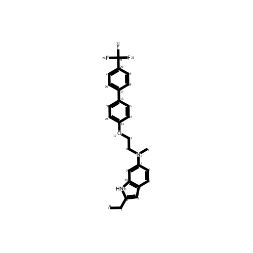 [CH]Cc1cc2ccc(N(C)CCOc3ccc(-c4ccc(C(F)(F)F)cc4)cc3)cc2[nH]1